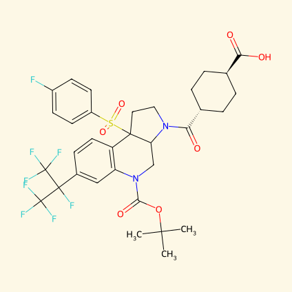 CC(C)(C)OC(=O)N1CC2N(C(=O)[C@H]3CC[C@H](C(=O)O)CC3)CCC2(S(=O)(=O)c2ccc(F)cc2)c2ccc(C(F)(C(F)(F)F)C(F)(F)F)cc21